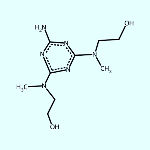 CN(CCO)c1nc(N)nc(N(C)CCO)n1